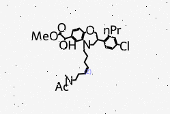 CCCc1cc(Cl)ccc1C1COc2ccc(C(O)C(=O)OC)cc2N(CCC/C=C\CCN(C)C(C)=O)C1